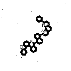 c1ccc(-c2ccc3ccc4ccc(-c5cccc6c(-c7nc8ccc9oc%10ccccc%10c9c8c8ccccc78)cccc56)nc4c3n2)cc1